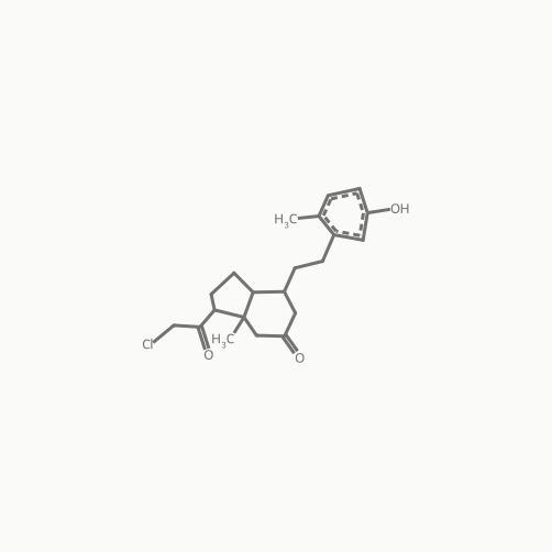 Cc1ccc(O)cc1CCC1CC(=O)CC2(C)C(C(=O)CCl)CCC12